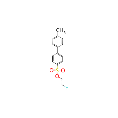 Cc1ccc(-c2ccc(S(=O)(=O)OC=CF)cc2)cc1